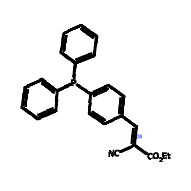 CCOC(=O)/C(C#N)=C/c1ccc(P(c2ccccc2)c2ccccc2)cc1